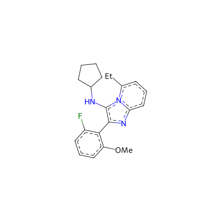 CCc1cccc2nc(-c3c(F)cccc3OC)c(NC3CCCC3)n12